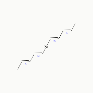 C/C=C/C=[CH]/[Sr]/[CH]=C/C=C/C